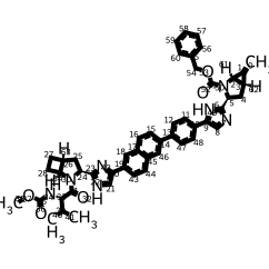 C=C1[C@@H]2[C@H]1C[C@@H](c1ncc(-c3ccc(-c4ccc5cc(-c6c[nH]c([C@@H]7C[C@H]8CC[C@H]8N7C(=O)[C@@H](NC(=O)OC)C(C)C)n6)ccc5c4)cc3)[nH]1)N2C(=O)OCc1ccccc1